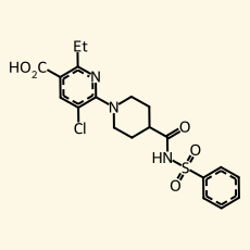 CCc1nc(N2CCC(C(=O)NS(=O)(=O)c3ccccc3)CC2)c(Cl)cc1C(=O)O